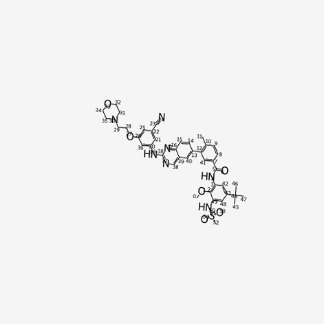 COc1c(NC(=O)c2ccc(C)c(-c3ccc4nc(Nc5cc(C#N)cc(OCCN6CCOCC6)c5)ncc4c3)c2)cc(C(C)(C)C)cc1NS(C)(=O)=O